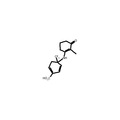 CC1=C(NC2(C(F)(F)F)C=CC(C(=O)O)=CC2)CCCC1=O